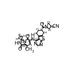 Cc1cc(Nc2ncnc3sc4c(c23)CC[C@H](C(=O)N2CC(C#N)C2)C4)c(=O)n2c1C(=O)NC21CSC1